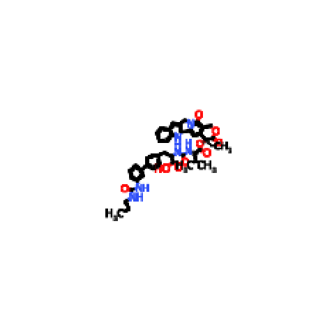 CCCNC(=O)Nc1cccc(-c2ccc(CC(NC(=O)N[C@H](C(=O)O[C@]3(CC)C(=O)OCc4c3cc3n(c4=O)Cc4cc5ccccc5nc4-3)C(C)C)C(=O)O)cc2)c1